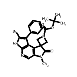 CN1C(=O)C2(CN(C(=O)OC(C)(C)C)C2)c2c1cnc1[nH]c(Br)c(-c3ccccc3)c21